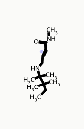 CCC(C)(C)C(C)(C)NC/C=C/C(=O)NC